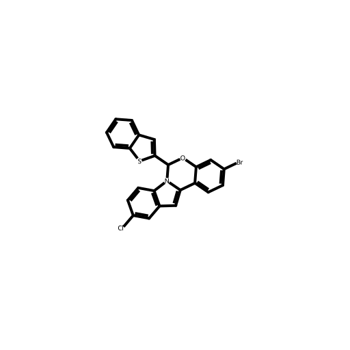 Clc1ccc2c(c1)cc1n2C(c2cc3ccccc3s2)Oc2cc(Br)ccc2-1